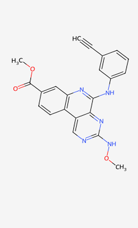 C#Cc1cccc(Nc2nc3cc(C(=O)OC)ccc3c3cnc(NOC)nc23)c1